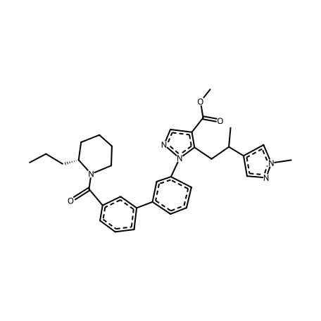 CCC[C@@H]1CCCCN1C(=O)c1cccc(-c2cccc(-n3ncc(C(=O)OC)c3CC(C)c3cnn(C)c3)c2)c1